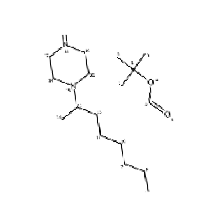 CC(C)(C)OC=O.CCCCCCC(C)N1CCNCC1